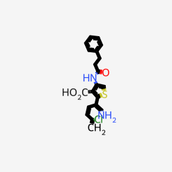 C=C(Cl)/C=C\C(=C/N)c1scc(NC(=O)CCc2ccccc2)c1C(=O)O